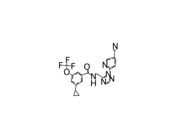 N#Cc1ccc(-n2ncnc2CNC(=O)c2cc(OC(F)(F)F)cc(C3CC3)c2)nc1